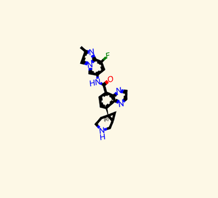 Cc1cn2cc(NC(=O)c3ccc([C@]45CCNCC4C5)c4nccnc34)cc(F)c2n1